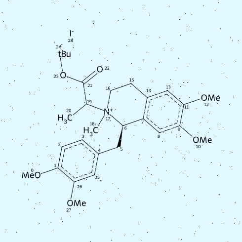 COc1ccc(C[C@@H]2c3cc(OC)c(OC)cc3CC[N+]2(C)C(C)C(=O)OC(C)(C)C)cc1OC.[I-]